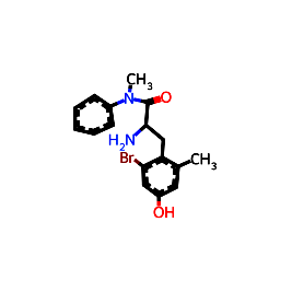 Cc1cc(O)cc(Br)c1CC(N)C(=O)N(C)c1ccccc1